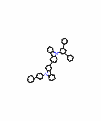 c1ccc(-c2ccc(-n3c4ccccc4c4cc(-c5ccc6c(c5)c5ccccc5n6-c5cc(-c6ccccc6)cc(-c6ccccc6)c5)ccc43)cc2)cc1